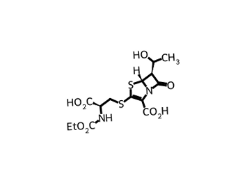 CCOC(=O)N[C@H](CSC1=C(C(=O)O)N2C(=O)[C@H](C(C)O)[C@H]2S1)C(=O)O